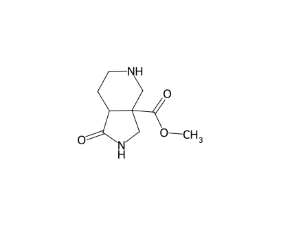 COC(=O)C12CNCCC1C(=O)NC2